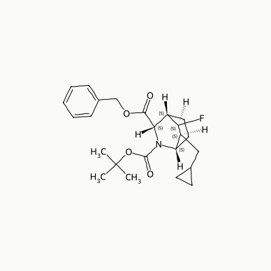 CC(C)(C)OC(=O)N1[C@H](C(=O)OCc2ccccc2)[C@@H]2CC[C@H]1[C@H](CC1CC1)[C@@H]2F